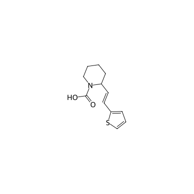 O=C(O)N1CCCCC1C=Cc1cccs1